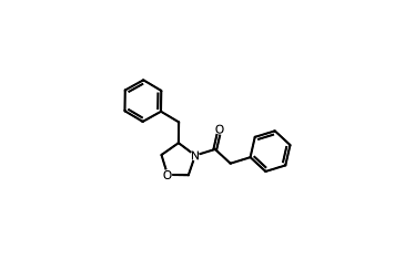 O=C(Cc1ccccc1)N1COCC1Cc1ccccc1